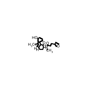 CN1CC[C@@]23c4c5ccc(O)c4C[C@@H]1[C@@H]2CC[C@H](N(C)C(=O)/C=C/c1ccoc1)[C@@H]3O5